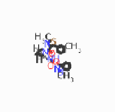 Cc1cccc(-c2sc(C)nc2C(=O)N2C[C@@H]3C[C@@H]3[C@H]2CNC(=O)Oc2nn(C)c3ccccc23)c1